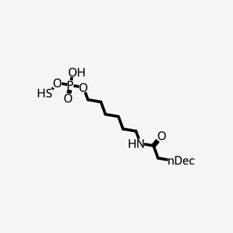 CCCCCCCCCCCC(=O)NCCCCCCOP(=O)(O)OS